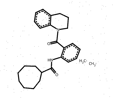 O=C(Nc1ccccc1C(=O)N1CCCc2ccccc21)C1CC[CH]CCCC1.[CH2].[CH2]